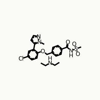 CCNCC.Cn1nccc1-c1cc(Cl)ccc1OCc1ccc(C(=O)NS(C)(=O)=O)cc1